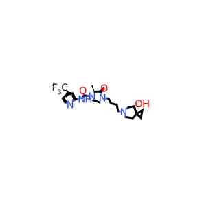 C[C@H]1C(=O)N(CCCCN2CCC3(CC3)[C@H](O)C2)CCN1C(=O)Nc1cc(C(F)(F)F)ccn1